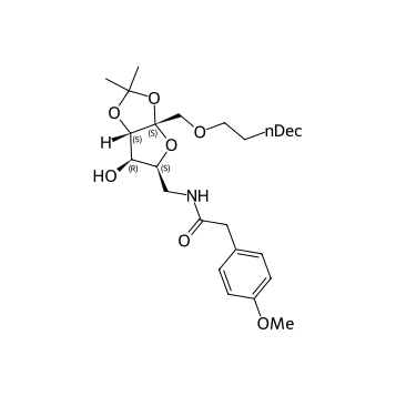 CCCCCCCCCCCCOC[C@@]12O[C@@H](CNC(=O)Cc3ccc(OC)cc3)[C@@H](O)[C@@H]1OC(C)(C)O2